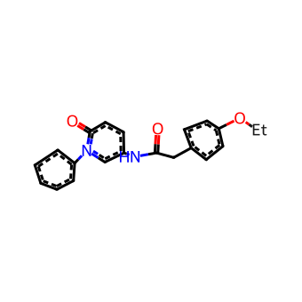 CCOc1ccc(CC(=O)Nc2ccc(=O)n(-c3ccccc3)c2)cc1